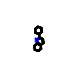 c1cc2c(nc1C1CCCCC1)CCCC2